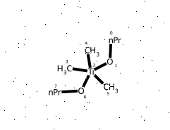 CCC[O][Ti]([CH3])([CH3])([CH3])[O]CCC